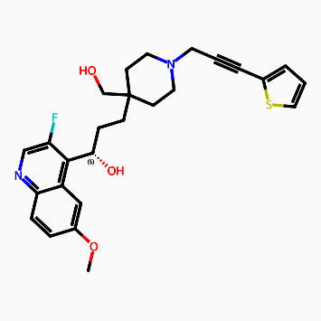 COc1ccc2ncc(F)c([C@@H](O)CCC3(CO)CCN(CC#Cc4cccs4)CC3)c2c1